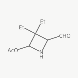 CCC1(CC)C(C=O)NC1OC(C)=O